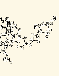 CCc1nccn1CC(c1cccc(F)c1)(C1CCN(CC2CN(c3c(F)cc(C#N)cc3F)C2)CC1)C1CCCC1NC(=O)NC